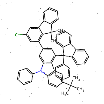 CC(C)(C)c1ccc2c(c1)c1c(C3(c4ccccc4)c4ccccc4-c4ccccc43)cc(-c3cc(Cl)cc4c3C(C)(C)c3ccccc3-4)cc1n2-c1ccccc1